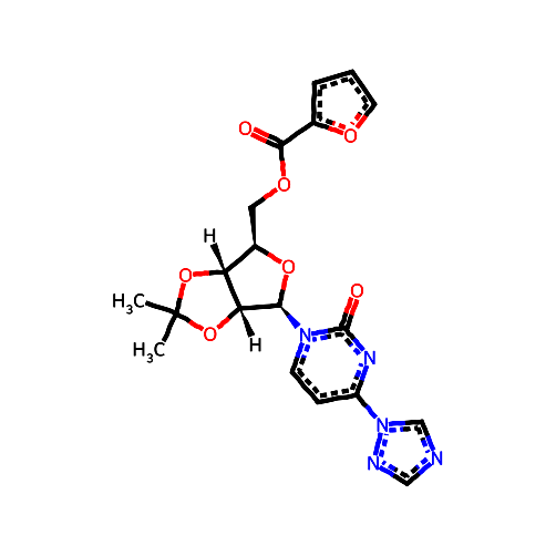 CC1(C)O[C@@H]2[C@H](O1)[C@@H](COC(=O)c1ccco1)O[C@H]2n1ccc(-n2cncn2)nc1=O